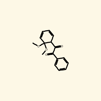 COC1(OC)C=CC=CC1C(=O)C(=O)c1ccccc1